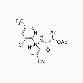 CC(=O)OC(C(C)=O)C(=O)N[N+]1(c2ncc(C(F)(F)F)cc2Cl)C=C(C#N)C=N1